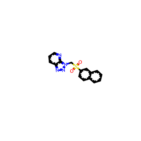 O=S(=O)(Cn1nnc2cccnc21)c1ccc2ccccc2c1